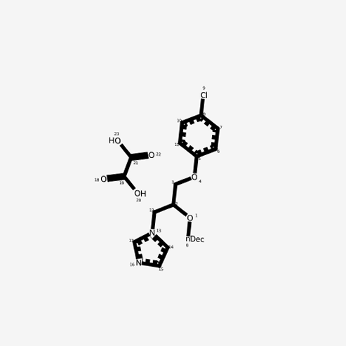 CCCCCCCCCCOC(COc1ccc(Cl)cc1)Cn1ccnc1.O=C(O)C(=O)O